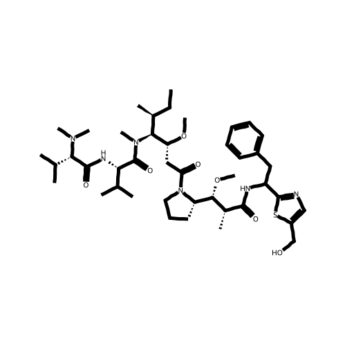 CC[C@H](C)[C@@H]([C@@H](CC(=O)N1CCC[C@H]1[C@H](OC)[C@@H](C)C(=O)NC(Cc1ccccc1)c1ncc(CO)s1)OC)N(C)C(=O)[C@@H](NC(=O)[C@H](C(C)C)N(C)C)C(C)C